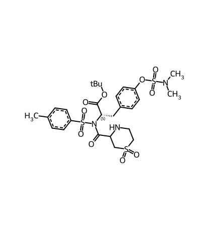 Cc1ccc(S(=O)(=O)N(C(=O)C2CS(=O)(=O)CCN2)[C@@H](Cc2ccc(OS(=O)(=O)N(C)C)cc2)C(=O)OC(C)(C)C)cc1